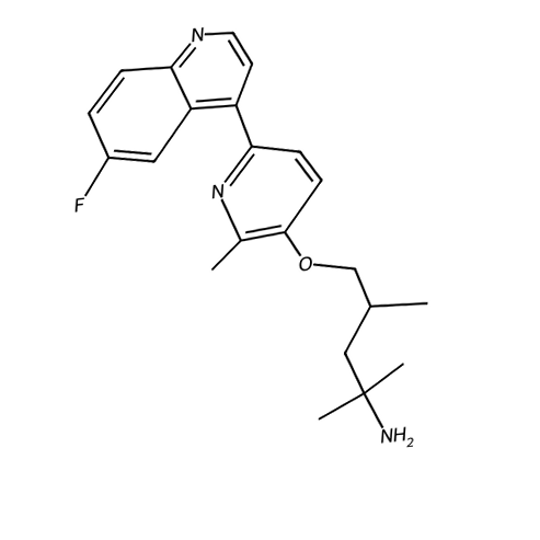 Cc1nc(-c2ccnc3ccc(F)cc23)ccc1OCC(C)CC(C)(C)N